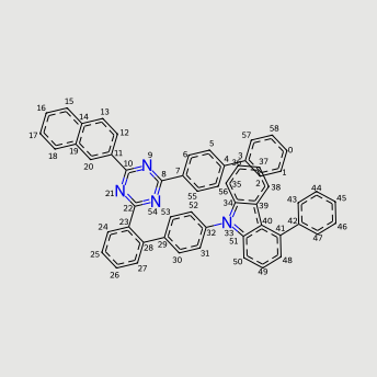 c1ccc(-c2ccc(-c3nc(-c4ccc5ccccc5c4)nc(-c4ccccc4-c4ccc(-n5c6ccccc6c6c(-c7ccccc7)cccc65)cc4)n3)cc2)cc1